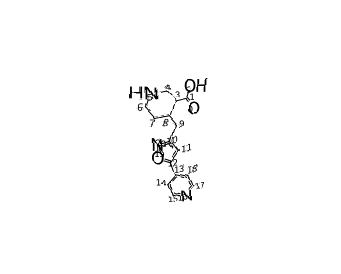 O=C(O)C1CNCCC1Cc1cc(-c2ccncc2)on1